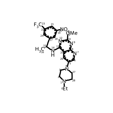 CCN1CCN(c2cnc3nc(OC)nc(N[C@H](C)c4cc([N+](=O)[O-])cc(C(F)(F)F)c4)c3c2)CC1